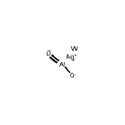 [Ag+].[O]=[Al][O-].[W]